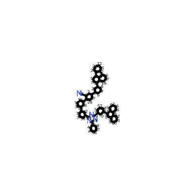 N#Cc1cc(-c2cccc(-c3ccc4c5c(cccc35)-c3ccccc3-4)c2)ccc1-c1cccc(-c2cccc(-c3nc(-c4ccccc4)nc(-c4cccc(-c5cc6ccccc6c6ccccc56)c4)n3)c2)c1